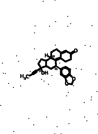 CC#C[C@]1(O)CCC2C1C[C@H](c1ccc3c(c1)OCO3)C1=C3CCC(=O)C=C3CC[C@H]12